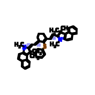 CN1/C(=C/C=C2\CCCC(/C=C/C3=[N+](C)c4ccc5ccccc5c4C3(C)C)=C2Sc2ccccc2)C(C)(C)c2c1ccc1ccccc21